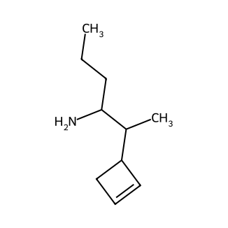 CCCC(N)C(C)C1C=CC1